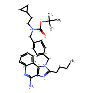 CCCCc1nc2c(N)nc3ccccc3c2n1Cc1ccc(CN(CCC2CC2)C(=O)OC(C)(C)C)cc1